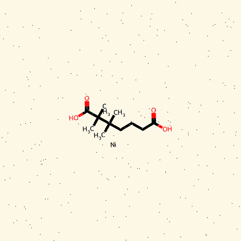 CC(C)(CCCC(=O)O)C(C)(C)C(=O)O.[Ni]